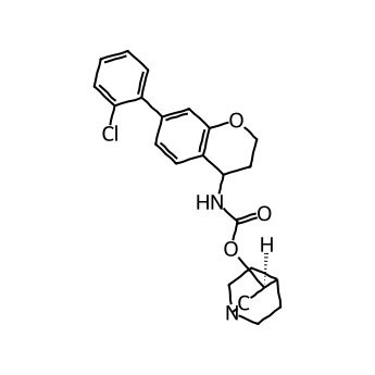 O=C(NC1CCOc2cc(-c3ccccc3Cl)ccc21)O[C@@H]1CN2CCC1CC2